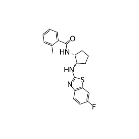 Cc1ccccc1C(=O)N[C@@H]1CCC[C@H]1Nc1nc2ccc(F)cc2s1